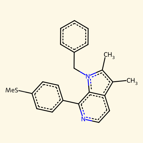 CSc1ccc(-c2nccc3c(C)c(C)n(Cc4ccccc4)c23)cc1